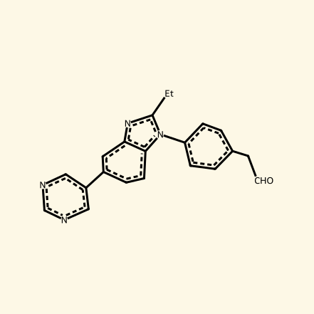 CCc1nc2cc(-c3cncnc3)ccc2n1-c1ccc(CC=O)cc1